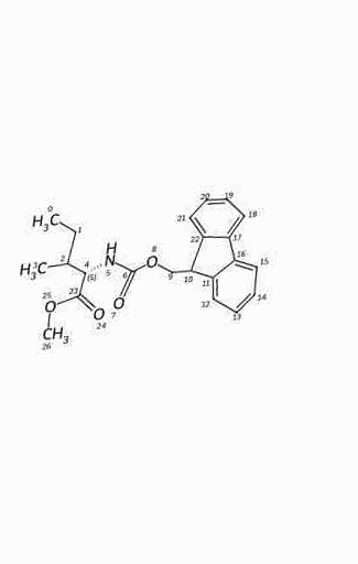 CCC(C)[C@H](NC(=O)OCC1c2ccccc2-c2ccccc21)C(=O)OC